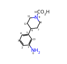 Nc1cccc(C2CCN(C(=O)O)CC2)c1